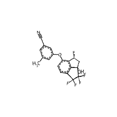 Cc1cc(C#N)cc(Oc2ccc3c4c2[C@@H](F)C[C@]4(O)C(F)(F)C3(F)F)c1